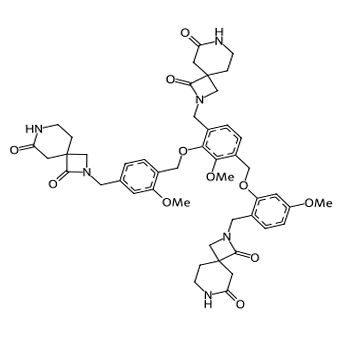 COc1ccc(CN2CC3(CCNC(=O)C3)C2=O)c(OCc2ccc(CN3CC4(CCNC(=O)C4)C3=O)c(OCc3ccc(CN4CC5(CCNC(=O)C5)C4=O)cc3OC)c2OC)c1